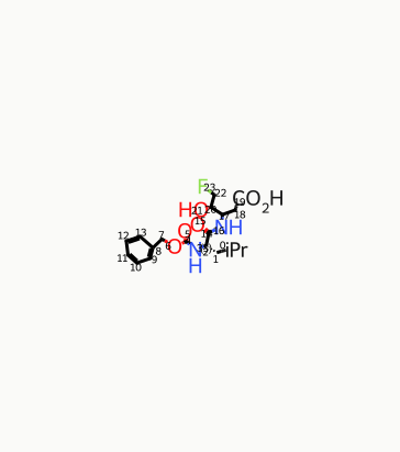 CC(C)C[C@H](NC(=O)OCc1ccccc1)C(=O)NC(CC(=O)O)C(O)CF